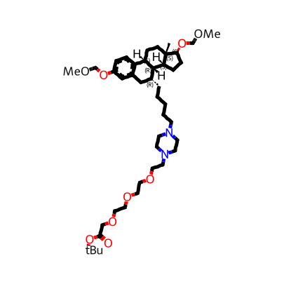 COCOc1ccc2c(c1)C[C@@H](CCCCCN1CCN(CCOCCOCCOCC(=O)OC(C)(C)C)CC1)[C@@H]1[C@@H]2CC[C@]2(C)[C@@H](OCOC)CC[C@@H]12